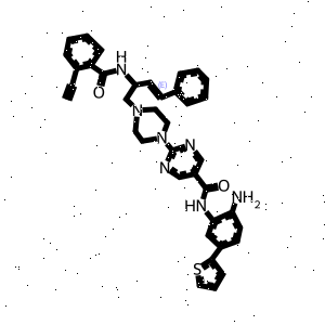 C#Cc1ccccc1C(=O)NC(/C=C/c1ccccc1)CN1CCN(c2ncc(C(=O)Nc3cc(-c4cccs4)ccc3N)cn2)CC1